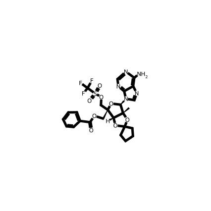 C[C@@]12OC3(CCCC3)O[C@@H]1[C@](COC(=O)c1ccccc1)(COS(=O)(=O)C(F)(F)F)O[C@H]2n1cnc2c(N)ncnc21